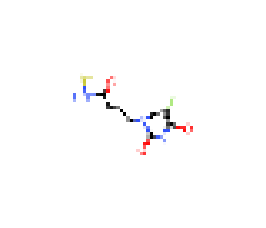 O=C(CCCn1cc(F)c(=O)[nH]c1=O)NS